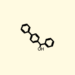 OC(c1ccccc1)c1ccc(-c2ccccc2)cc1